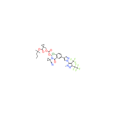 CCCC(C)(C)OC(=O)C1(COC(=O)OCN(C(=O)c2cc(-c3cnn(-c4c(C(F)(F)F)c(C(F)(F)C(F)(F)F)nn4C)c3)ccc2Cl)C2(C#N)CC2)CC1